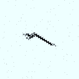 CCCCCCCCC=CCCCCCCCC(=O)OC(=O)CN(C)CCCC